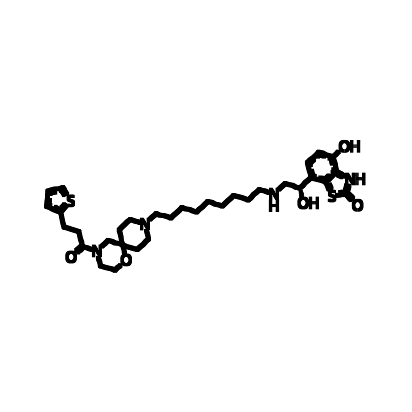 O=C(CCc1cccs1)N1CCOC2(CCN(CCCCCCCCCNC[C@H](O)c3ccc(O)c4[nH]c(=O)sc34)CC2)C1